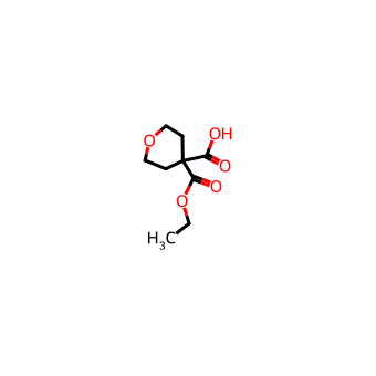 CCOC(=O)C1(C(=O)O)CCOCC1